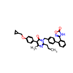 CCCc1nc(C)c(-c2ccc(OCC3CC3)cc2)c(=O)n1Cc1ccc(-c2ccccc2-c2noc(=O)[nH]2)cc1